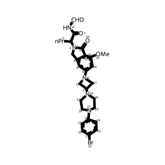 CCCC(C(=O)NC=O)N1Cc2cc(N3CC(N4CCN(c5ccc(Br)cc5)CC4)C3)cc(OC)c2C1=O